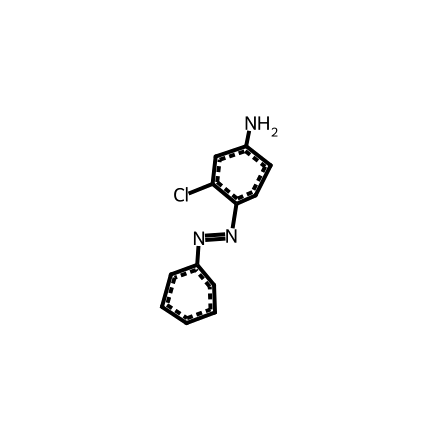 Nc1ccc(N=Nc2ccccc2)c(Cl)c1